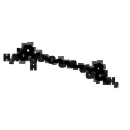 Nc1ccc2c(C(O)COCCOCCOCCOCCOCC(O)c3cccc4nc(N)ccc34)cccc2n1